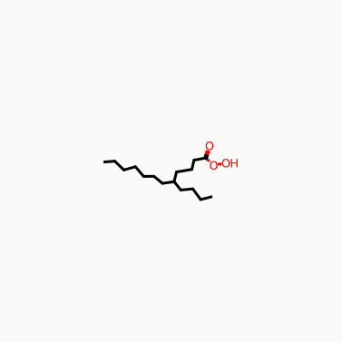 CCCCCCCC(CCCC)CCCC(=O)OO